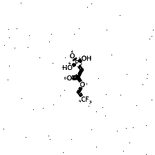 O=C(CP(=O)(O)O)OCC(F)(F)F